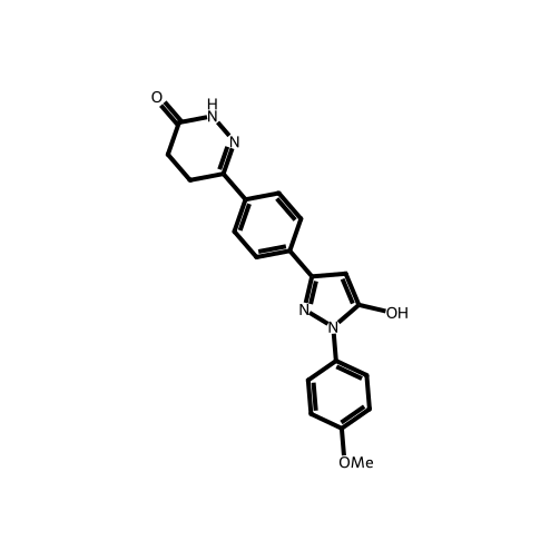 COc1ccc(-n2nc(-c3ccc(C4=NNC(=O)CC4)cc3)cc2O)cc1